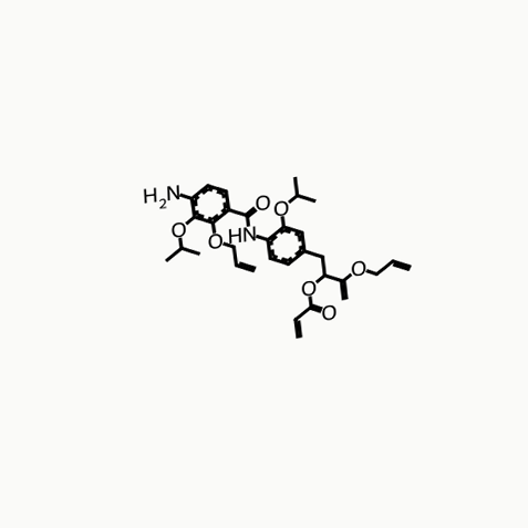 C=CCOC(=C)C(Cc1ccc(NC(=O)c2ccc(N)c(OC(C)C)c2OCC=C)c(OC(C)C)c1)OC(=O)C=C